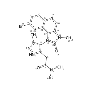 CCN(C)C(=O)Cc1[nH]nc(C)c1-n1c(=O)n(C)c2cnc3ccc(Br)cc3c21